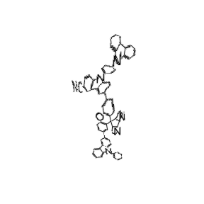 N#Cc1ccc2c(c1)c1cc(-c3ccc4c(c3)Oc3ccc(-c5ccc6c(c5)c5ccccc5n6-c5ccccc5)cc3C43c4cccnc4-c4ncccc43)ccc1n2-c1ccc(-n2c3ccccc3c3ccccc32)cc1